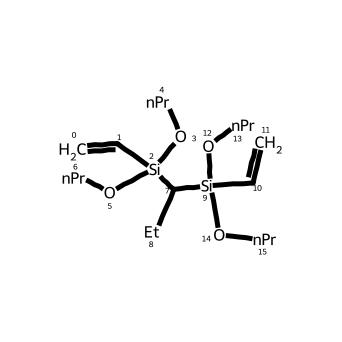 C=C[Si](OCCC)(OCCC)C(CC)[Si](C=C)(OCCC)OCCC